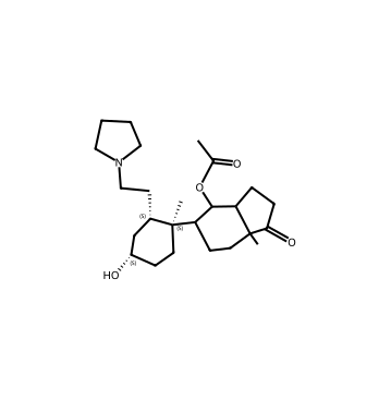 CC(=O)OC1C2CCC(=O)C2(C)CCC1[C@@]1(C)CC[C@H](O)C[C@@H]1CCN1CCCC1